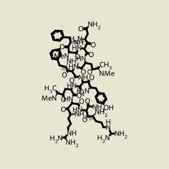 CNC(C(=O)NC(C(=O)NC(CC(=O)[C@H](C)NC)C(=O)NC(C(=O)NC(C(=O)NC(CC(=O)[C@H](C)NC)C(=O)NC(C(=O)NC(C(N)=O)C(=O)[C@@H](N)CCCNC(N)N)C(=O)[C@@H](N)CCCNC(N)N)C(=O)[C@@H](N)Cc1ccc(O)cc1)C(=O)[C@@H](N)Cc1ccccc1)C(=O)[C@@H](N)CC(N)=O)C(=O)[C@@H](N)Cc1ccccc1